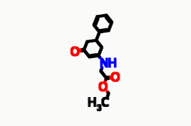 CCOC(=O)CNC1=CC(=O)CC(c2ccccc2)C1